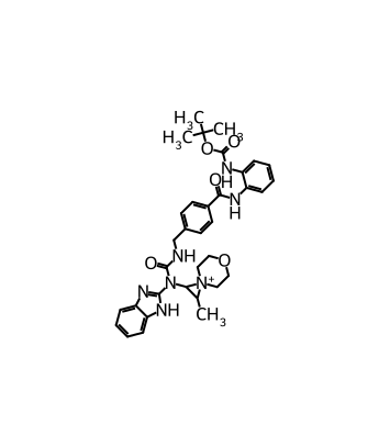 CC1C(N(C(=O)NCc2ccc(C(=O)Nc3ccccc3NC(=O)OC(C)(C)C)cc2)c2nc3ccccc3[nH]2)[N+]12CCOCC2